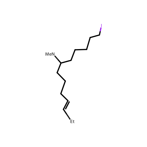 CC/C=C/CCCC(CCCCCI)NC